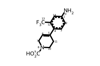 Nc1ccc(C2=CCN(C(=O)O)CC2)c(C(F)(F)F)c1